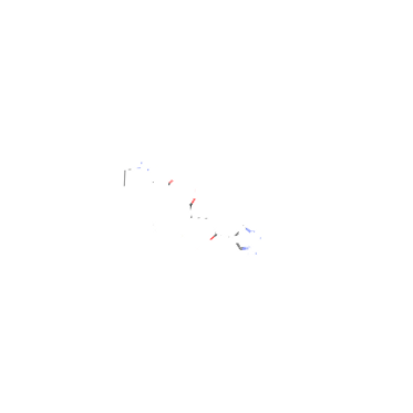 CC(=O)SC(CC(=O)c1cnn(C)c1)C(=O)OC(=O)[C@@H]1CCCN1